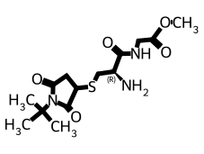 COC(=O)CNC(=O)[C@@H](N)CSC1CC(=O)N(C(C)(C)C)C1=O